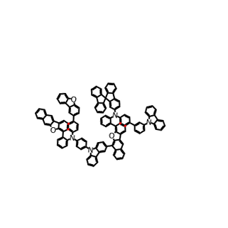 c1cc(-c2ccc(N(c3ccc4c(c3)C3(c5ccccc5-c5ccccc53)c3ccccc3-4)c3ccccc3-c3cccc4c3oc3c(-c5ccc6c(c5)c5ccccc5n6-c5ccc(N(c6ccc(-c7ccc8oc9ccccc9c8c7)cc6)c6ccccc6-c6cccc7c6oc6cc8ccccc8cc67)cc5)c5ccccc5cc34)cc2)cc(-n2c3ccccc3c3ccccc32)c1